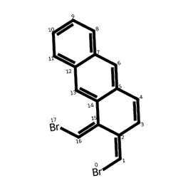 BrC=c1ccc2cc3ccccc3cc2c1=CBr